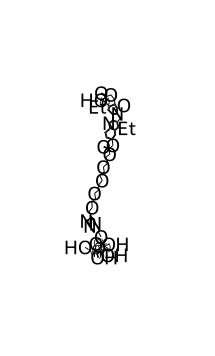 CCc1c2c(nc3ccc(OC(=O)OCCOCCOCCOCCOCc4cn(CCO[C@H]5O[C@@H](CO)[C@H](O)[C@@H](O)[C@@H]5O)nn4)cc13)-c1cc3c(c(=O)n1C2)COC(=O)[C@]3(O)CC